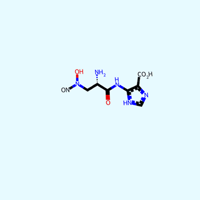 N[C@@H](CN(O)N=O)C(=O)Nc1[nH]cnc1C(=O)O